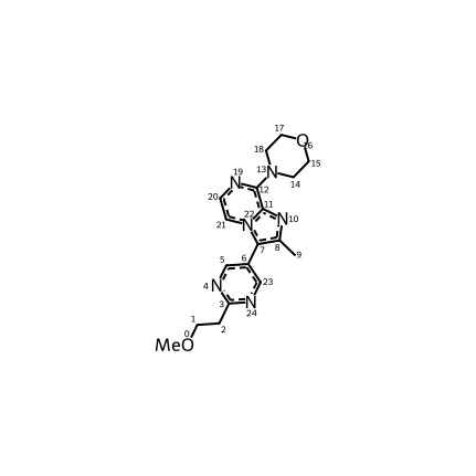 COCCc1ncc(-c2c(C)nc3c(N4CCOCC4)nccn23)cn1